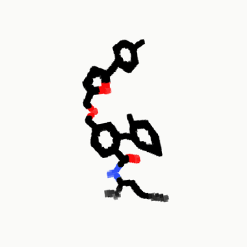 CSCC[C@H](NC(=O)c1ccc(COCc2ccc(-c3ccc(C)cc3)o2)cc1-c1ccccc1C)C(=O)O